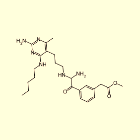 CCCCCNc1nc(N)nc(C)c1CCCNC(N)C(=O)c1cccc(CC(=O)OC)c1